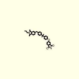 C=c1c2ccc(Cc3ccc(C(C)(C)c4ccc(Oc5ccc6c(c5)C(=O)N(C)C6=O)cc4)cc3)cc2c(=C)n1CCC